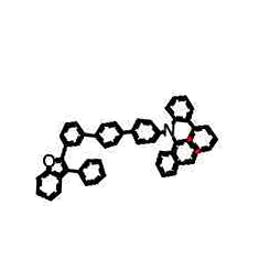 c1ccc(-c2ccccc2N(c2ccc(-c3ccc(-c4cccc(-c5oc6ccccc6c5-c5ccccc5)c4)cc3)cc2)c2cccc3ccccc23)cc1